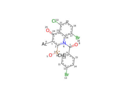 CC(=O)c1c([S+](C)[O-])n(C(=O)c2ccc(Br)cc2)c2c(Br)ccc(Cl)c2c1=O